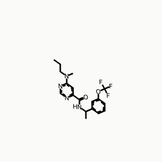 CCCN(C)c1cc(C(=O)NC(C)c2cccc(OC(F)(F)F)c2)ncn1